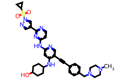 CN1CCN(Cc2ccc(C#Cc3cnc(Nc4ccnc(-c5cnn(S(=O)(=O)C6CC6)c5)n4)cc3NC3CCC(O)CC3)cc2)CC1